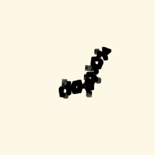 CC1(C(=O)N2CCC(O)(Cn3cnc4c(cc(Cl)n4-c4ccc(C5(C)COCCN5)cc4)c3=O)CC2)CC1